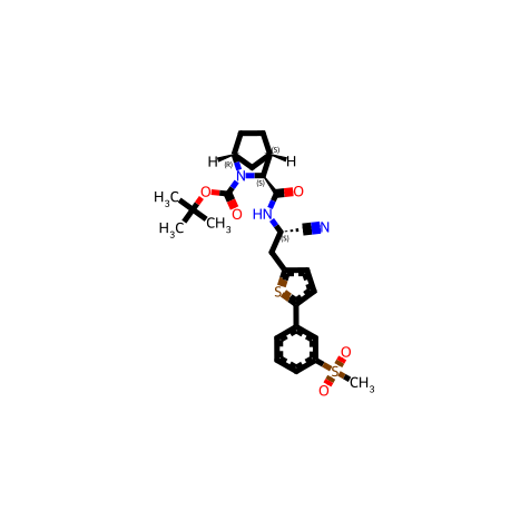 CC(C)(C)OC(=O)N1[C@@H]2CC[C@@H](C2)[C@H]1C(=O)N[C@H](C#N)Cc1ccc(-c2cccc(S(C)(=O)=O)c2)s1